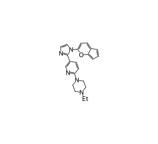 CCN1CCN(c2ccc(-c3nccn3-c3ccc4cccc-4o3)cn2)CC1